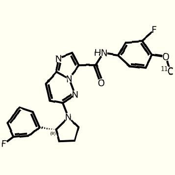 [11CH3]Oc1ccc(NC(=O)c2cnc3ccc(N4CCC[C@@H]4c4cccc(F)c4)nn23)cc1F